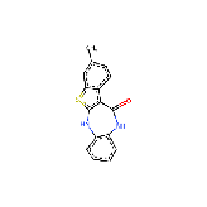 Cc1ccc2c3c(sc2c1)Nc1ccccc1NC3=O